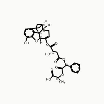 C[C@H](OC(=O)[C@@H](OC(=O)C[C@H](O)C(=O)OC1=CC[C@@]2(O)[C@@H]3CCC[C@@]24c2c(ccc(O)c2O[C@@H]14)C3)c1ccccc1)C(=O)O